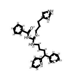 O=C(NC(=NCCCc1c[nH]cn1)NCCCC(c1ccccc1)c1ccccn1)c1ccccc1